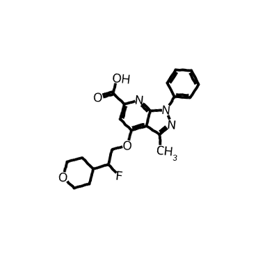 Cc1nn(-c2ccccc2)c2nc(C(=O)O)cc(OCC(F)C3CCOCC3)c12